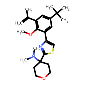 C=C(C)c1cc(C(C)(C)C)cc(-c2csc(C3(N(C)C)CCOCC3)n2)c1OC